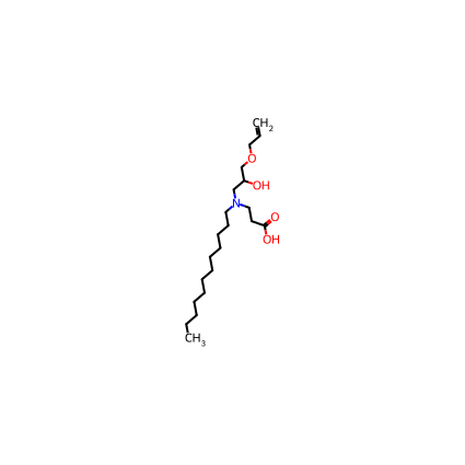 C=CCOCC(O)CN(CCCCCCCCCCCC)CCC(=O)O